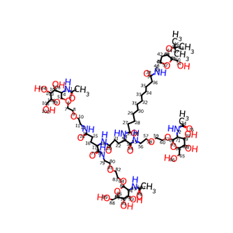 CC(=O)NC1C(OCCOCCNC(=O)CCC(NC(=O)CCC(NC(=O)CCCCCCCCCCC(=O)NC[C@@H]2C[C@H](OC(C)(C)C)[C@@H](CO)O2)C(=O)NCCOCCOC2OC(CO)C(O)C(O)C2NC(C)=O)C(=O)NCCOCCOC2O[C@H](CO)C(O)C(O)C2NC(C)=O)OC(CO)C(O)C1O